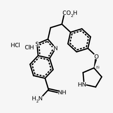 Cl.Cl.N=C(N)c1ccc2sc(CC(C(=O)O)c3ccc(O[C@H]4CCNC4)cc3)nc2c1